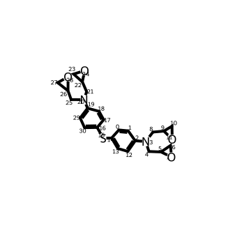 c1cc(N(CC2CO2)CC2CO2)ccc1Sc1ccc(N(CC2CO2)CC2CO2)cc1